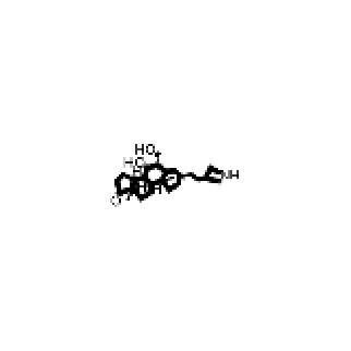 C[C@]12CC[C@H](CCC3CNC3)CC1[C@@H](CO)[C@@H](O)[C@@H]1[C@@H]2CC[C@]2(C)C(=O)CC[C@@H]12